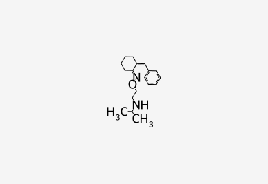 CC(C)NCCON=C1CCCCC1=Cc1ccccc1